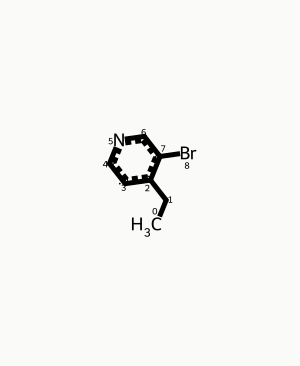 CCc1[c]cncc1Br